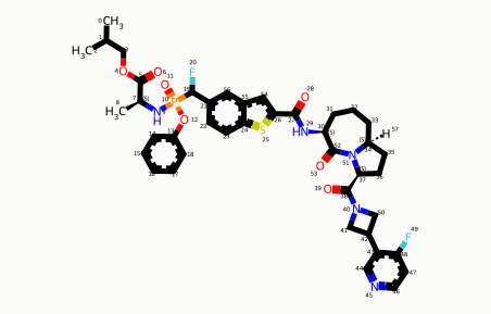 CC(C)COC(=O)[C@H](C)NP(=O)(Oc1ccccc1)C(F)c1ccc2sc(C(=O)N[C@H]3CCC[C@H]4CC[C@@H](C(=O)N5CC(c6cnccc6F)C5)N4C3=O)cc2c1